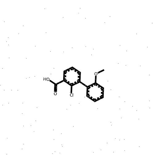 COc1ccccc1-c1cccc(C(=O)O)c1Cl